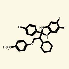 O=C(O)c1ccc(SCC(C2CCCCC2)C2(c3ccc(Cl)cc3)Nc3cc(F)c(F)cc3N2)cc1